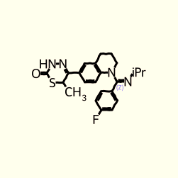 CC(C)/N=C(/c1ccc(F)cc1)N1CCCc2cc(C3=NNC(=O)SC3C)ccc21